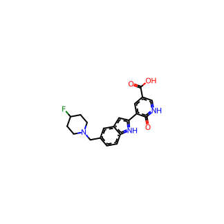 O=C(O)c1c[nH]c(=O)c(-c2cc3cc(CN4CCC(F)CC4)ccc3[nH]2)c1